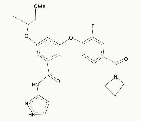 COCC(C)Oc1cc(Oc2ccc(C(=O)N3CCC3)cc2F)cc(C(=O)Nc2cc[nH]n2)c1